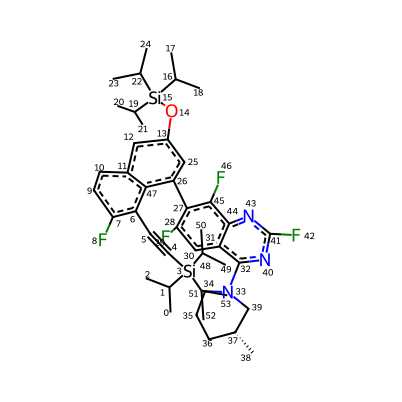 CC(C)[Si](C#Cc1c(F)ccc2cc(O[Si](C(C)C)(C(C)C)C(C)C)cc(-c3c(F)cc4c(N5CCC[C@@H](C)C5)nc(F)nc4c3F)c12)(C(C)C)C(C)C